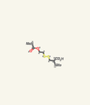 CNC(=O)OCCSSCC(NC)C(=O)O